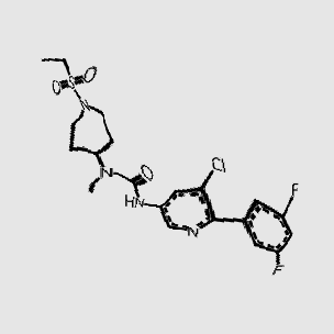 CCS(=O)(=O)N1CCC(N(C)C(=O)Nc2cnc(-c3cc(F)cc(F)c3)c(Cl)c2)CC1